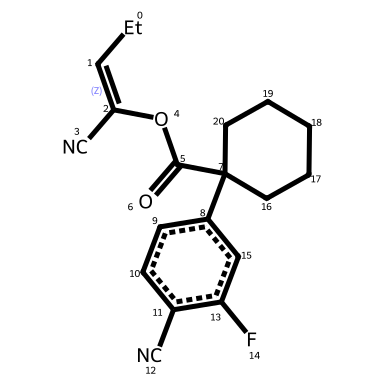 CC/C=C(/C#N)OC(=O)C1(c2ccc(C#N)c(F)c2)CCCCC1